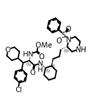 COC(=O)N[C@H](C(=O)N[C@H]1CCCC[C@@H]1CCC[C@H]1CNCCN1S(=O)(=O)c1ccccc1)C(c1ccc(Cl)cc1)C1CCOCC1